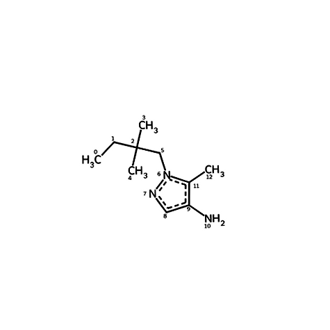 CCC(C)(C)Cn1ncc(N)c1C